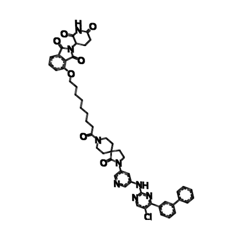 O=C1CCC(N2C(=O)c3cccc(OCCCCCCCCC(=O)N4CCC5(CC4)CCN(c4cncc(Nc6ncc(Cl)c(-c7cccc(-c8ccccc8)c7)n6)c4)C5=O)c3C2=O)C(=O)N1